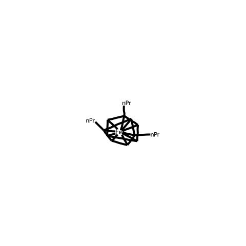 CCC[C]12[CH]3[CH]4[CH]5[CH]1[Fe]45321678[CH]2[CH]1[C]6(CCC)[CH]7[C]28CCC